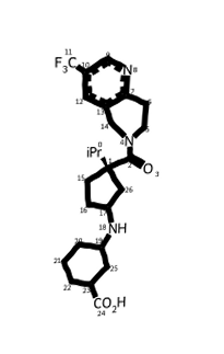 CC(C)[C@]1(C(=O)N2CCc3ncc(C(F)(F)F)cc3C2)CCC(NC2CCCC(C(=O)O)C2)C1